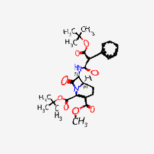 COC(=O)C1=C(C(=O)OC(C)(C)C)N2C(=O)[C@@H](NC(=O)C(C(=O)OC(C)(C)C)c3ccccc3)[C@H]2CC1